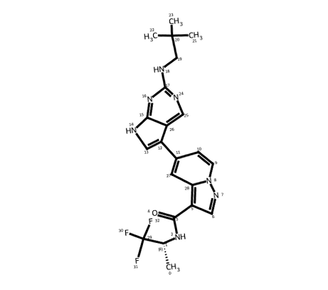 C[C@@H](NC(=O)c1cnn2ccc(-c3c[nH]c4nc(NCC(C)(C)C)ncc34)cc12)C(F)(F)F